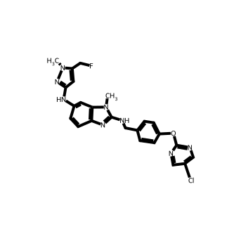 Cn1nc(Nc2ccc3nc(NCc4ccc(Oc5ncc(Cl)cn5)cc4)n(C)c3c2)cc1CF